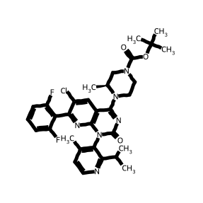 Cc1ccnc(C(C)C)c1-n1c(=O)nc(N2CCN(C(=O)OC(C)(C)C)C[C@@H]2C)c2cc(Cl)c(-c3c(F)cccc3F)nc21